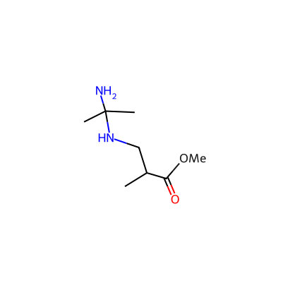 COC(=O)C(C)CNC(C)(C)N